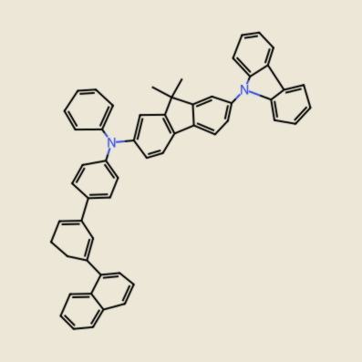 CC1(C)c2cc(N(c3ccccc3)c3ccc(C4=CCCC(c5cccc6ccccc56)=C4)cc3)ccc2-c2ccc(-n3c4ccccc4c4ccccc43)cc21